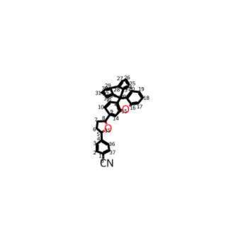 N#Cc1ccc(C2CCC(c3ccc4c(c3)Oc3ccccc3C43c4ccccc4-c4ccccc43)O2)cc1